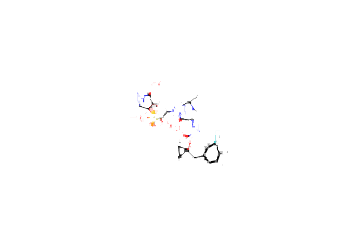 CC(C)C[C@H](NC(=O)OC1(Cc2cccc(F)c2)CC1)C(=O)N[C@@H](C[C@@H]1CCNC1=O)C(O)S(=O)(=O)O